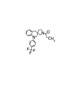 CCC(=O)N1CCC2(Cc3ccccc3N(c3ccc(C(F)(F)F)cc3)C2)C1